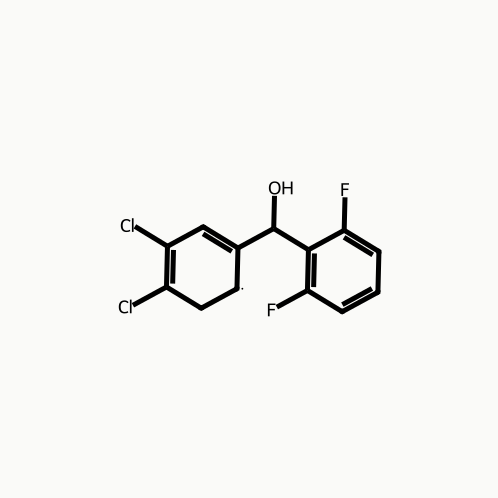 OC(C1=CC(Cl)=C(Cl)C[CH]1)c1c(F)cccc1F